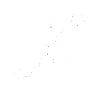 COc1ccc(B2OC(C)(C)C(C)(C)O2)cc1C(=O)N(C)c1cccc(-c2nnc[nH]2)n1